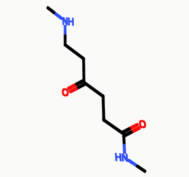 CNCCC(=O)CCC(=O)NC